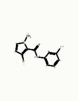 Nn1ccc(Cl)c1C(=O)Nc1cccc(F)c1